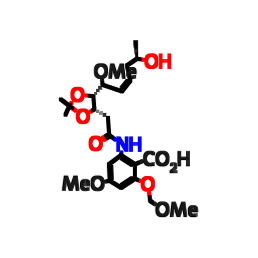 COCOc1cc(OC)cc(NC(=O)C[C@@H]2OC(C)(C)O[C@@H]2C(/C=C\C[C@@H](C)O)OC)c1C(=O)O